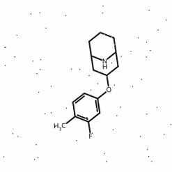 Cc1ccc(OC2CC3CCCC(C2)N3)cc1F